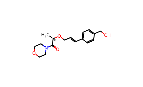 C[C@@H](OCC=Cc1ccc(CO)cc1)C(=O)N1CCOCC1